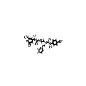 O=C(NCCN(CCN1CCCC1)C(=O)Nc1ccc(Br)cc1)Nc1cc(Cl)nc(Cl)c1